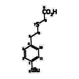 CC(C)(C)c1ccc(CCSCC(=O)O)cc1